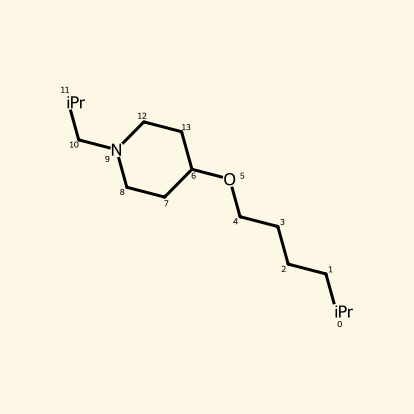 CC(C)CCCCOC1CCN(CC(C)C)CC1